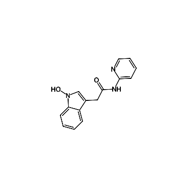 O=C(Cc1cn(O)c2ccccc12)Nc1ccccn1